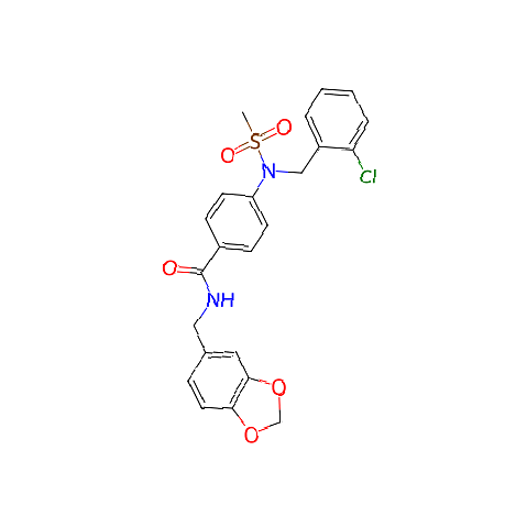 CS(=O)(=O)N(Cc1ccccc1Cl)c1ccc(C(=O)NCc2ccc3c(c2)OCO3)cc1